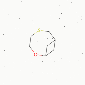 C1CSCC2CC(C2)O1